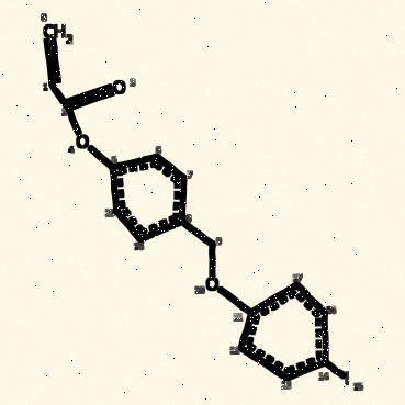 C=CC(=O)Oc1ccc(COc2ccc(I)cc2)cc1